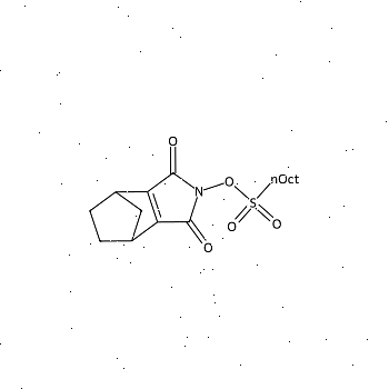 CCCCCCCCS(=O)(=O)ON1C(=O)C2=C(C1=O)C1CCC2C1